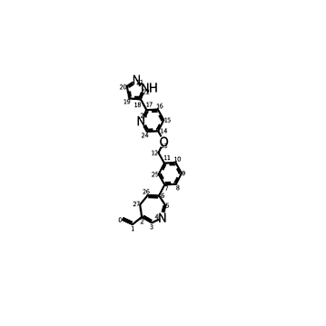 C=CC1=CN=CC(c2cccc(COc3ccc(-c4ccn[nH]4)nc3)c2)=CC1